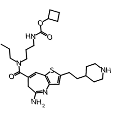 CCCN(CCCNC(=O)OC1CCC1)C(=O)C1=Cc2sc(CCC3CCNCC3)cc2N=C(N)C1